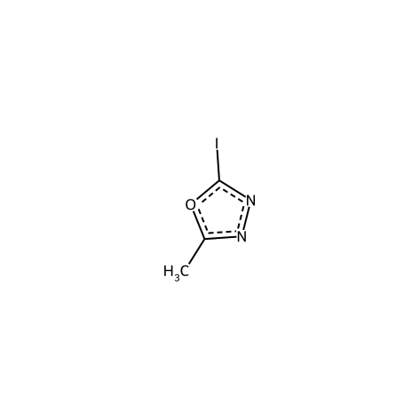 Cc1nnc(I)o1